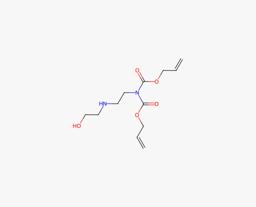 C=CCOC(=O)N(CCNCCO)C(=O)OCC=C